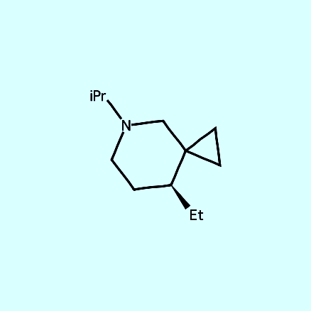 CC[C@H]1CCN(C(C)C)CC12CC2